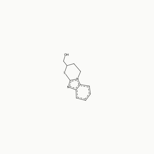 OCC1CCn2c(nc3ccccc32)S1